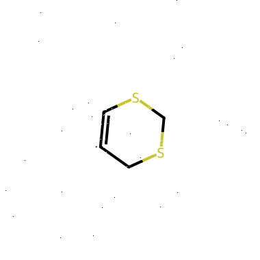 [C]1=CSCSC1